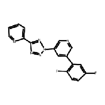 Fc1ccc(F)c(-c2cncc(-n3nnc(-c4ccccn4)n3)c2)c1